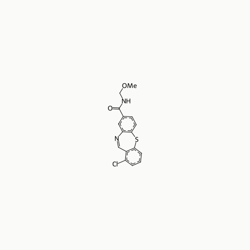 COCNC(=O)c1ccc2c(c1)N=Cc1c(Cl)cccc1S2